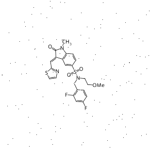 COCCN(Cc1ccc(F)cc1F)S(=O)(=O)c1ccc2c(c1)/C(=C\c1nccs1)C(=O)N2C